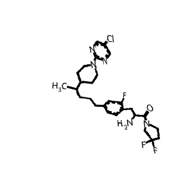 CC(CCCc1ccc(CC(N)C(=O)N2CCC(F)(F)C2)c(F)c1)C1CCN(c2ncc(Cl)cn2)CC1